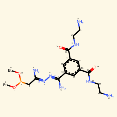 CCOP(C/C(N)=N/N=C(\N)c1cc(C(=O)NCCN)cc(C(=O)NCCN)c1)OCC